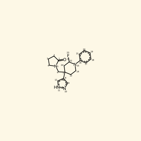 O=C1CCCN1CC1(c2cn[nH]c2)CCN(c2ccccc2)C(F)C1